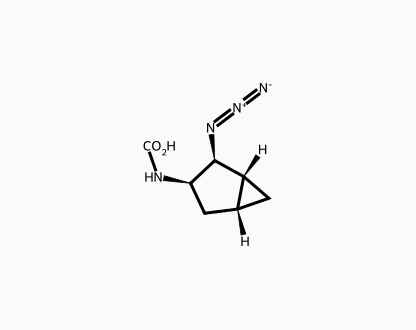 [N-]=[N+]=N[C@H]1[C@@H]2C[C@@H]2C[C@H]1NC(=O)O